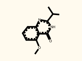 COc1cccc2nc(C(C)C)[nH]c(=O)c12